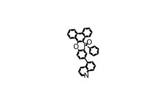 O=P1(c2ccccc2)c2cc(-c3cccc4ncccc34)ccc2Oc2c1c1ccccc1c1ccccc21